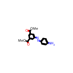 COC(=O)c1cc(/N=N/c2ccc(N)cc2)cc(C(=O)OC)c1